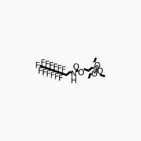 CCO[Si](CCCOC(=O)NCCC(F)(F)C(F)(F)C(F)(F)C(F)(F)C(F)(F)C(F)(F)F)(OCC)OCC